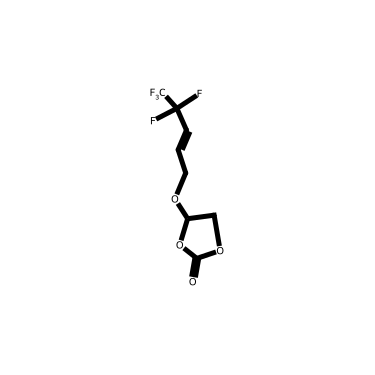 O=C1OCC(OCC=CC(F)(F)C(F)(F)F)O1